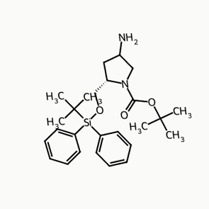 CC(C)(C)OC(=O)N1CC(N)C[C@H]1CO[Si](c1ccccc1)(c1ccccc1)C(C)(C)C